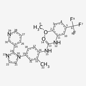 COc1ccc(C(F)(F)F)cc1NC(=O)Nc1ccc(-n2ccnc2-c2cccnc2)cc1C